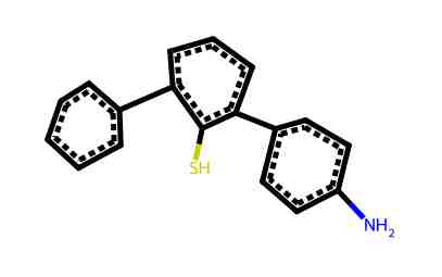 Nc1ccc(-c2cccc(-c3ccccc3)c2S)cc1